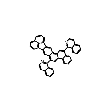 c1ccc2c(-c3cc4c5cc6c(cc5c(-c5nccc7ccccc57)cc4c4ccccc34)-c3cccc4cccc-6c34)nccc2c1